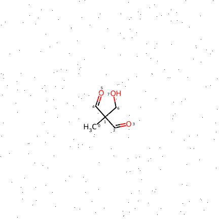 CC(C=O)(C=O)CO